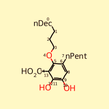 CCCCCCCCCCCCCOc1c(CCCCC)cc(O)c(O)c1C(=O)O